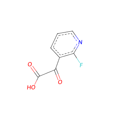 O=C(O)C(=O)c1cccnc1F